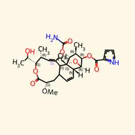 CO[C@H]1CC2C=C[C@H]3[C@H]4O[C@]2(/C(C)=C/[C@@H](C)[C@@H](C(C)O)OC1=O)[C@@H]3[C@H](OC(N)=O)[C@@H](C)[C@H]4OC(=O)c1ccc[nH]1